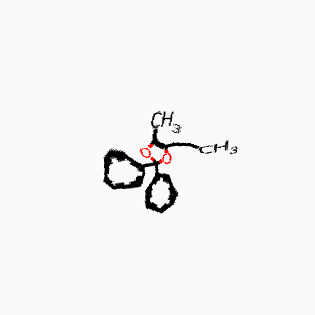 CCC1=C(C)OC(c2ccccc2)(c2ccccc2)O1